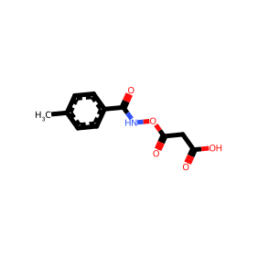 Cc1ccc(C(=O)NOC(=O)CC(=O)O)cc1